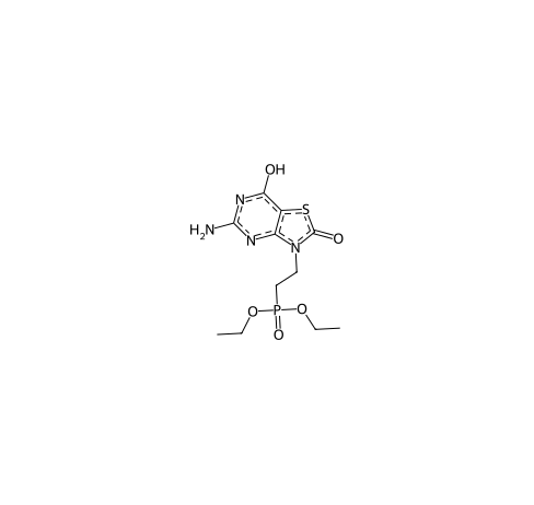 CCOP(=O)(CCn1c(=O)sc2c(O)nc(N)nc21)OCC